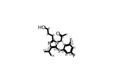 CC(=O)Cn1c(CCCO)nc(C(C)C)c1Sc1cc(F)cc(F)c1